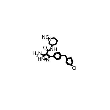 N#CN1CCCC(NC(=O)c2c(-c3ccc(Cc4ccc(Cl)cc4)cc3)n[nH]c2N)C1